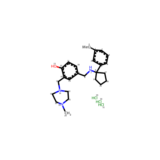 COc1cccc(C2(NCc3ccc(O)c(CN4CCN(C)CC4)c3)CCCC2)c1.Cl.Cl.Cl